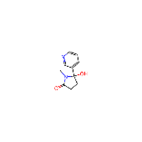 CN1C(=O)CCC1(O)c1cccnc1